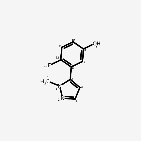 Cn1nccc1-c1cc(O)ccc1F